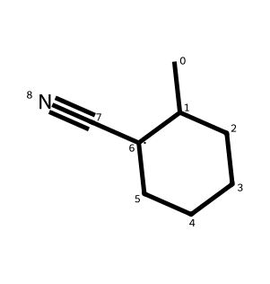 CC1CCCC[C]1C#N